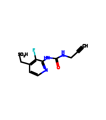 C#CCNC(=O)Nc1nccc(CS(=O)(=O)O)c1F